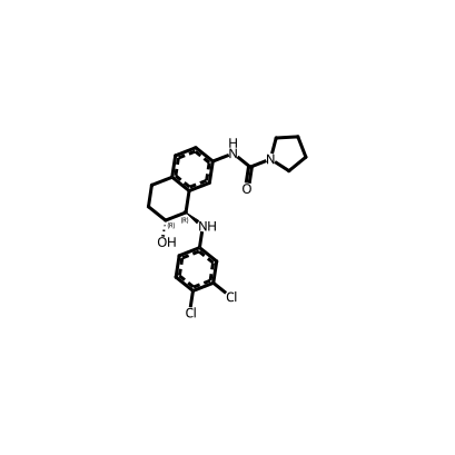 O=C(Nc1ccc2c(c1)[C@@H](Nc1ccc(Cl)c(Cl)c1)[C@H](O)CC2)N1CCCC1